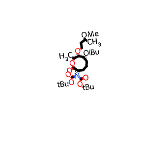 COC(C)CCO[C@H]1[C@H](C)OC(=O)[C@@H](N(C(=O)OC(C)(C)C)C(=O)OC(C)(C)C)CCC[C@@H]1OCC(C)C